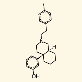 Cc1ccc(CCN2CC[C@@]3(c4cccc(O)c4)CCCC[C@@H]3C2)cc1